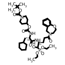 CCOP(=O)(OCC)C(O)[C@H](CCC(=O)N1CCOc2ccccc2C1)NC(=O)[C@H](CC1CCCCC1)NC(=O)OC1CCN(C(=O)OC(C)(C)C)CC1